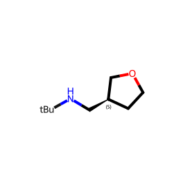 CC(C)(C)NC[C@@H]1CCOC1